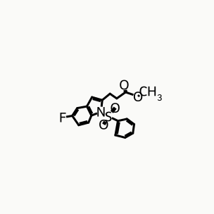 COC(=O)CCc1cc2cc(F)ccc2n1S(=O)(=O)c1ccccc1